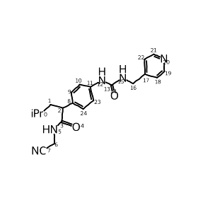 CC(C)CC(C(=O)NCC#N)c1ccc(NC(=O)NCc2ccncc2)cc1